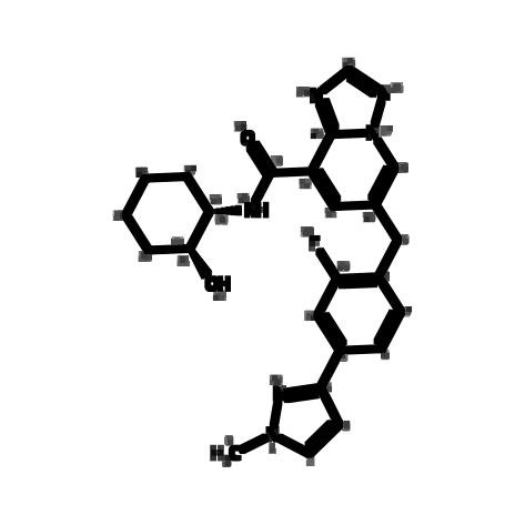 Cn1ccc(-c2ccc(Cc3cc(C(=O)N[C@H]4CCCC[C@@H]4O)c4ncnn4c3)c(F)c2)n1